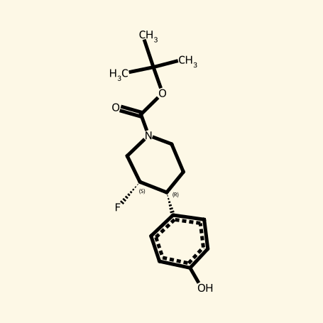 CC(C)(C)OC(=O)N1CC[C@H](c2ccc(O)cc2)[C@H](F)C1